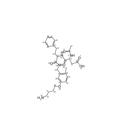 CC(=O)NC(CC(=O)O)C(=O)NC(CCc1ccccc1)C(=O)NCc1cc(OCCCCN)ccc1C